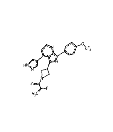 C=C(F)C(=O)N1CC(c2nn(-c3ccc(OC(F)(F)F)cc3)c3nccc(-c4cn[nH]c4)c23)C1